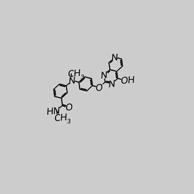 CNC(=O)c1cccc(N(C)c2ccc(Oc3nc(O)c4ccncc4n3)cc2)c1